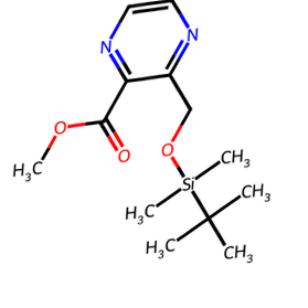 COC(=O)c1nccnc1CO[Si](C)(C)C(C)(C)C